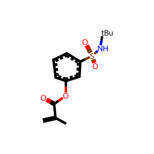 C=C(C)C(=O)Oc1cccc(S(=O)(=O)NC(C)(C)C)c1